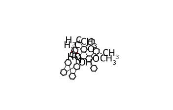 CC(C)c1cccc2c1oc1c(-c3ccccc3)cc3c(c12)-c1c(cc(C(C)(C)C)c2c1oc1ccccc12)C(O)(c1ccccc1)C3(O)N(c1ccccc1)c1ccc2c(c1)C1(c3ccccc3-c3ccccc31)c1ccccc1-2